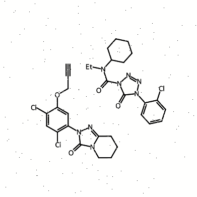 C#CCOc1cc(-n2nc3n(c2=O)CCCC3)c(Cl)cc1Cl.CCN(C(=O)n1nnn(-c2ccccc2Cl)c1=O)C1CCCCC1